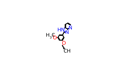 C#CCOc1cc(OC)cc(-c2nc3ncccc3[nH]2)c1